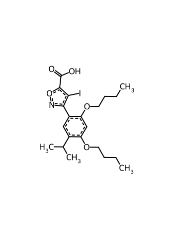 CCCCOc1cc(OCCCC)c(C(C)C)cc1-c1noc(C(=O)O)c1I